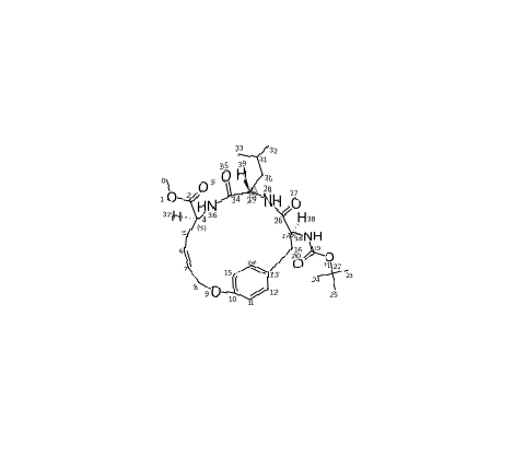 COC(=O)[C@@H]1CC=CCOc2ccc(cc2)C[C@H](NC(=O)OC(C)(C)C)C(=O)N[C@@H](CC(C)C)C(=O)N1